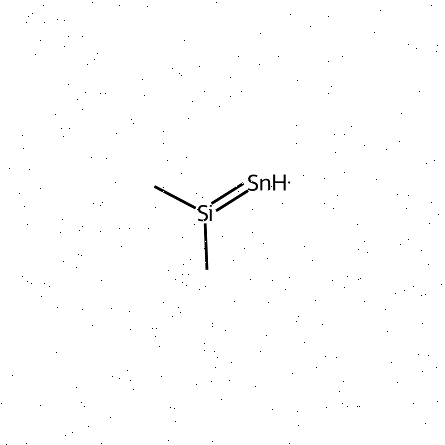 C[Si](C)=[SnH]